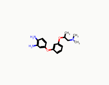 CC(CN(C)C)Oc1cccc(Oc2ccc(N)c(N)c2)c1